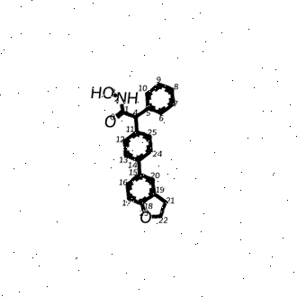 O=C(NO)C(c1ccccc1)c1ccc(-c2ccc3c(c2)CCO3)cc1